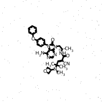 C[C@@H](Cn1c(=O)n(-c2ccc(Oc3ccccc3)cc2)c2c(N)ncnc21)NC(=O)C(C#N)=CC(C)(C)N(C)C1COC1